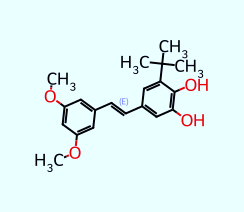 COc1cc(/C=C/c2cc(O)c(O)c(C(C)(C)C)c2)cc(OC)c1